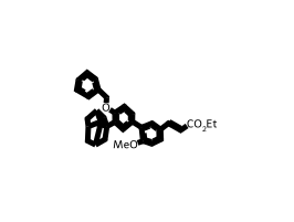 CCOC(=O)/C=C/c1ccc(OC)c(-c2ccc(OCc3ccccc3)c(C34CC5CC(CC(C5)C3)C4)c2)c1